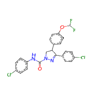 O=C(Nc1ccc(Cl)cc1)N1CC(c2ccc(OC(F)F)cc2)C(c2ccc(Cl)cc2)=N1